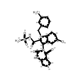 Cc1cccc(Cn2c(C(=O)NS(C)(=O)=O)c(-n3c(=O)[nH]c4cscc4c3=O)c3cc(Cl)ccc32)c1